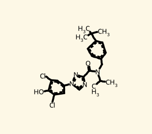 CC(C)N(Cc1ccc(C(C)(C)C)cc1)C(=O)c1ncn(-c2cc(Cl)c(O)c(Cl)c2)n1